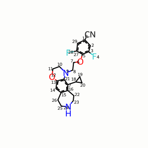 N#Cc1cc(F)c(OCCN2CCOc3cc4c(c(C5CC5)c32)CCNCC4)c(F)c1